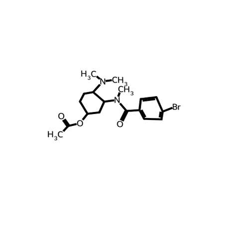 CC(=O)OC1CCC(N(C)C)C(N(C)C(=O)c2ccc(Br)cc2)C1